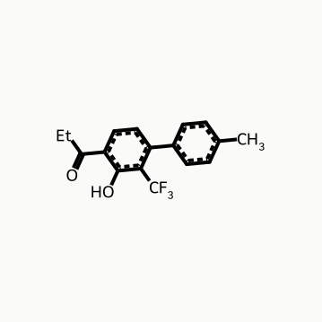 CCC(=O)c1ccc(-c2ccc(C)cc2)c(C(F)(F)F)c1O